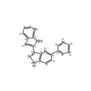 c1cnc2[nH]c(-c3n[nH]c4ccc(-c5cncnc5)nc34)nc2c1